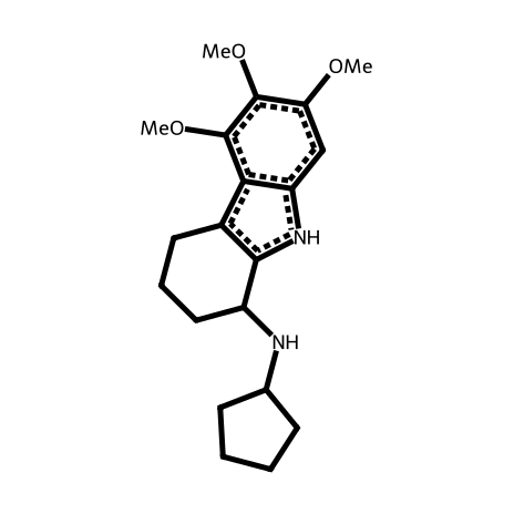 COc1cc2[nH]c3c(c2c(OC)c1OC)CCCC3NC1CCCC1